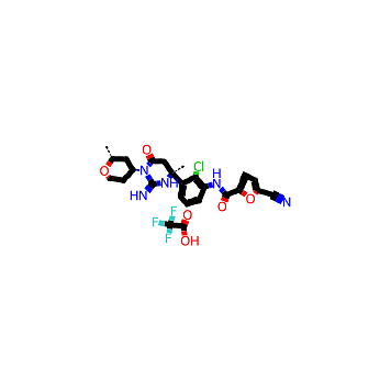 C[C@@H]1C[C@H](N2C(=N)N[C@](C)(c3cccc(NC(=O)c4ccc(C#N)o4)c3Cl)CC2=O)CCO1.O=C(O)C(F)(F)F